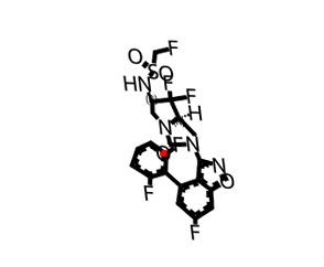 O=C1N(c2noc3cc(F)cc(-c4c(F)cccc4F)c23)C[C@H]2N1C[C@@H](NS(=O)(=O)CF)C2(F)F